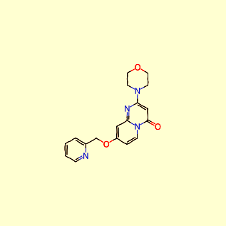 O=c1cc(N2CCOCC2)nc2cc(OCc3ccccn3)ccn12